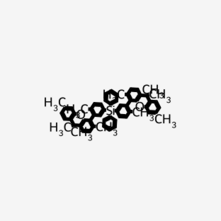 Cc1ccc2c(c1)Oc1c(ccc(C)c1-c1cc([Si](c3ccccc3)(c3ccccc3)c3ccc(C)c(-c4c(C)ccc5c4Oc4cc(C)ccc4C5(C)C)c3)ccc1C)C2(C)C